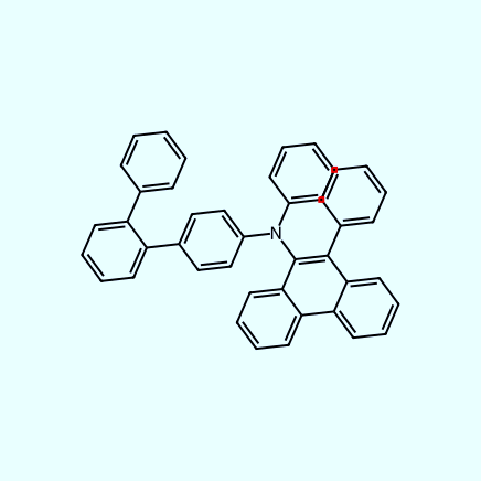 c1ccc(-c2ccccc2-c2ccc(N(c3ccccc3)c3c(-c4ccccc4)c4ccccc4c4ccccc34)cc2)cc1